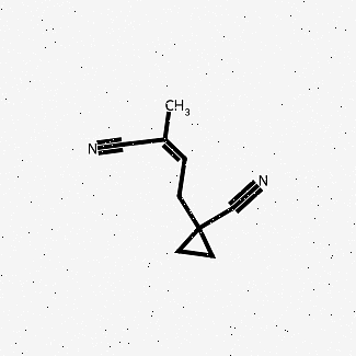 CC(C#N)=CCC1(C#N)CC1